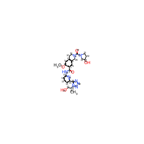 COc1cc2c(cc1C(=O)Nc1cccc(-c3nnnn3[C@H](C)CO)n1)CN(C(=O)N1CC[C@@H](O)C1)CC2